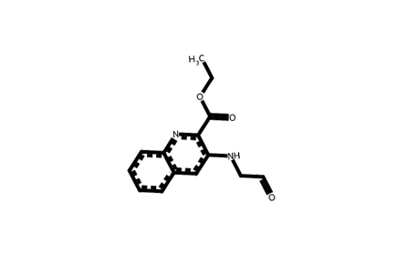 CCOC(=O)c1nc2ccccc2cc1NCC=O